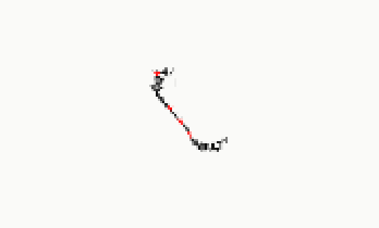 Cc1cc(N)cc(C)c1Cc1ccc(CCCCCCCCCCCCCCCCCCCc2ccc(Cc3c(C)cc(N)cc3C)cc2)cc1